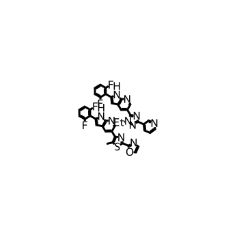 CCn1nc(-c2cccnc2)nc1-c1cnc2[nH]c(-c3c(F)cccc3F)cc2c1.Cc1sc(-c2ncco2)nc1-c1cnc2[nH]c(-c3c(F)cccc3F)cc2c1